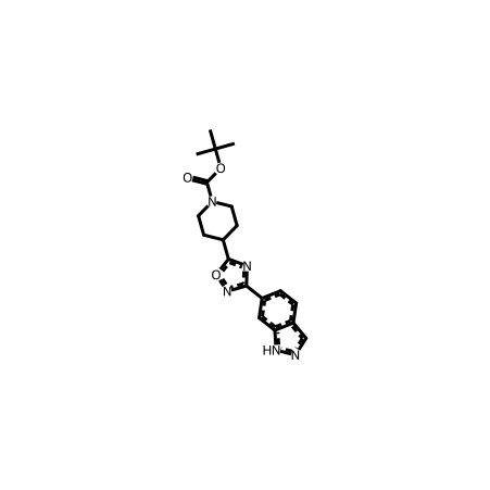 CC(C)(C)OC(=O)N1CCC(c2nc(-c3ccc4cn[nH]c4c3)no2)CC1